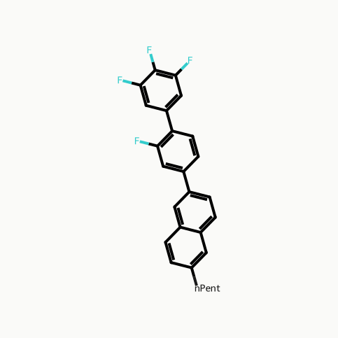 CCCCCc1ccc2cc(-c3ccc(-c4cc(F)c(F)c(F)c4)c(F)c3)ccc2c1